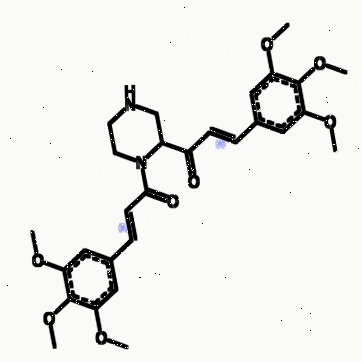 COc1cc(/C=C/C(=O)C2CNCCN2C(=O)/C=C/c2cc(OC)c(OC)c(OC)c2)cc(OC)c1OC